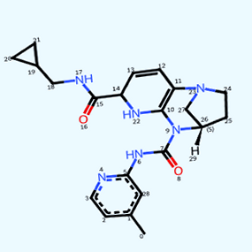 Cc1ccnc(NC(=O)N2C3=C(C=CC(C(=O)NCC4CC4)N3)N3CC[C@H]2C3)c1